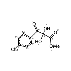 COC(=O)C(O)(O)C(=O)c1ccc(Cl)cc1